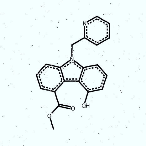 COC(=O)c1cccc2c1c1c(O)cccc1n2Cc1ccccn1